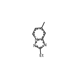 CCc1nc2cc(C)ccn2n1